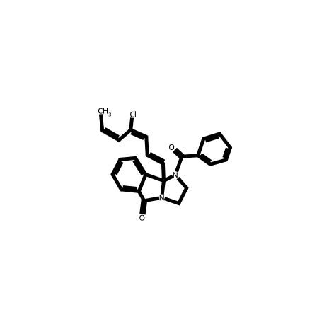 C\C=C/C(Cl)=C\C=C\C12c3ccccc3C(=O)N1CCN2C(=O)c1ccccc1